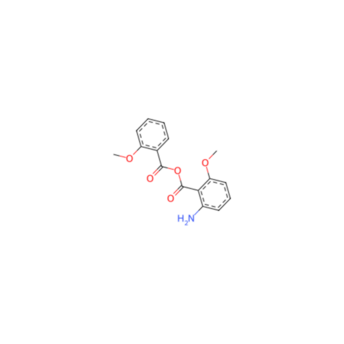 COc1ccccc1C(=O)OC(=O)c1c(N)cccc1OC